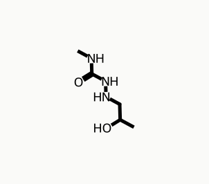 CNC(=O)NNCC(C)O